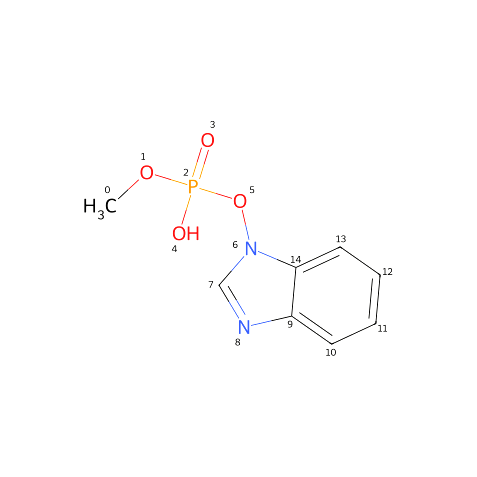 COP(=O)(O)On1cnc2ccccc21